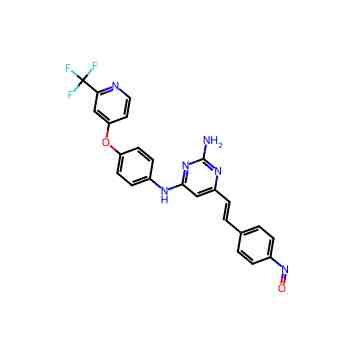 Nc1nc(/C=C/c2ccc(N=O)cc2)cc(Nc2ccc(Oc3ccnc(C(F)(F)F)c3)cc2)n1